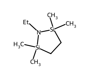 CCN1[Si](C)(C)CC[Si]1(C)C